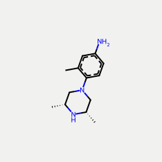 Cc1cc(N)ccc1N1C[C@@H](C)N[C@@H](C)C1